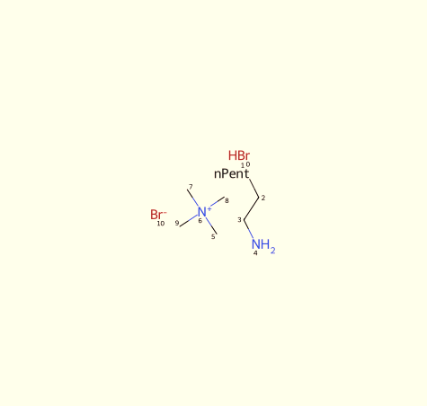 Br.CCCCCCCN.C[N+](C)(C)C.[Br-]